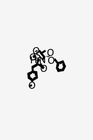 COc1ccc(/C=C2\C(=O)N3[C@@H](C(=O)OCc4ccccc4)C(C)(C)S(=O)(=O)[C@H]23)cc1